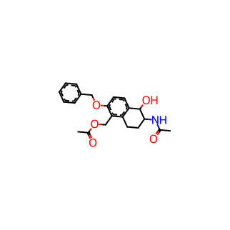 CC(=O)NC1CCc2c(ccc(OCc3ccccc3)c2COC(C)=O)C1O